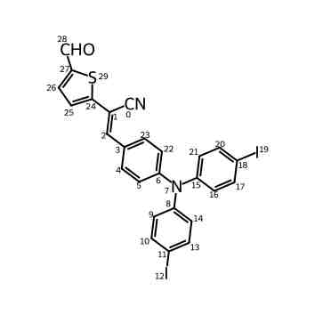 N#C/C(=C\c1ccc(N(c2ccc(I)cc2)c2ccc(I)cc2)cc1)c1ccc(C=O)s1